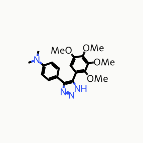 COc1cc(-c2[nH]nnc2-c2ccc(N(C)C)cc2)c(OC)c(OC)c1OC